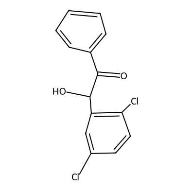 O=C(c1ccccc1)C(O)c1cc(Cl)ccc1Cl